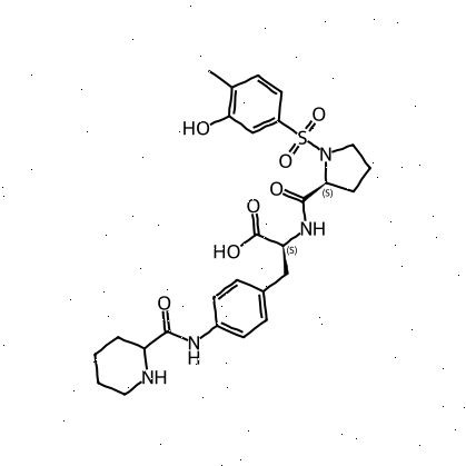 Cc1ccc(S(=O)(=O)N2CCC[C@H]2C(=O)N[C@@H](Cc2ccc(NC(=O)C3CCCCN3)cc2)C(=O)O)cc1O